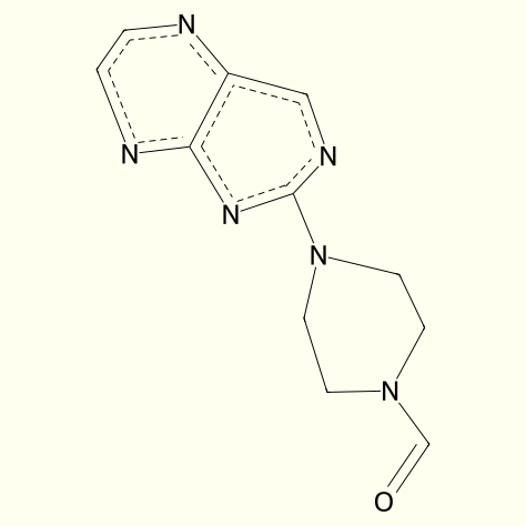 O=CN1CCN(c2ncc3nccnc3n2)CC1